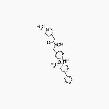 CN1CCN(CC(=O)N(O)Cc2ccc(NC3(OC(F)(F)F)C=CC(c4ccccc4)=CC3)cc2)CC1